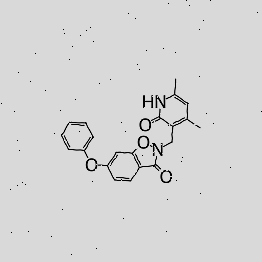 Cc1cc(C)c(Cn2oc3cc(Oc4ccccc4)ccc3c2=O)c(=O)[nH]1